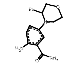 CCC1COCCN1c1ccc(N)c(C(N)=O)c1